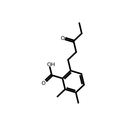 CCC(=O)CCc1ccc(C)c(C)c1C(=O)O